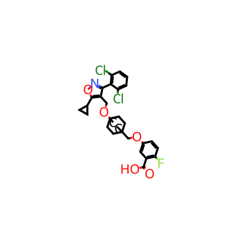 O=C(O)c1cc(OCC23CCC(OCc4c(-c5c(Cl)cccc5Cl)noc4C4CC4)(CC2)CC3)ccc1F